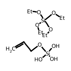 C=CCO[Si](O)(O)O.CCO[Si](OCC)(OCC)OCC